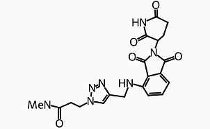 CNC(=O)CCn1cc(CNc2cccc3c2C(=O)N(C2CCC(=O)NC2=O)C3=O)nn1